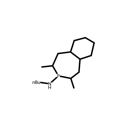 CCCCNP1C(C)CC2CCCCC2CC1C